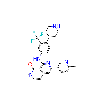 Cc1ccc(-c2cc3c(c(Nc4ccc(C5CCNCC5)c(C(F)(F)F)c4)n2)C(=O)[N]C=C3)cn1